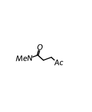 CNC(=O)CCC(C)=O